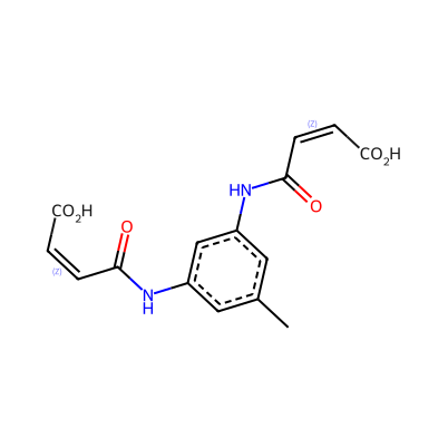 Cc1cc(NC(=O)/C=C\C(=O)O)cc(NC(=O)/C=C\C(=O)O)c1